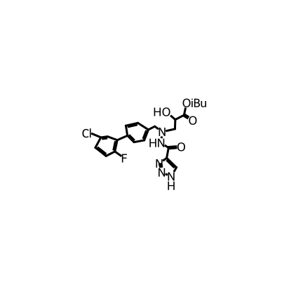 CC(C)COC(=O)C(O)CN(Cc1ccc(-c2cc(Cl)ccc2F)cc1)NC(=O)c1c[nH]nn1